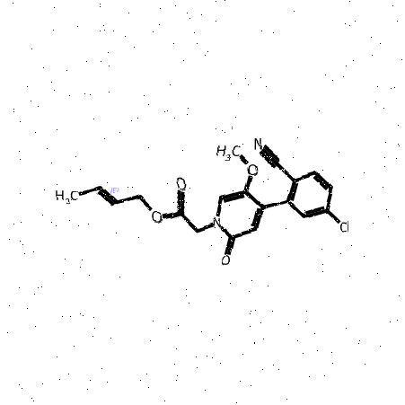 C/C=C/COC(=O)Cn1cc(OC)c(-c2cc(Cl)ccc2C#N)cc1=O